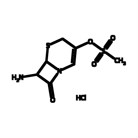 CS(=O)(=O)OC1=CN2C(=O)C(N)C2SC1.Cl